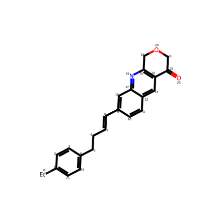 CCc1ccc(CC/C=C/c2ccc3cc4c(nc3c2)COCC4=O)cc1